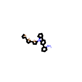 Nc1ccccc1-c1ccc2c3ccccc3n(-c3ccc(-c4ccc(-c5cccs5)s4)s3)c2c1